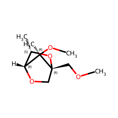 COC[C@]12CO[C@H]([C@H](C)O1)[C@@]2(C)OC